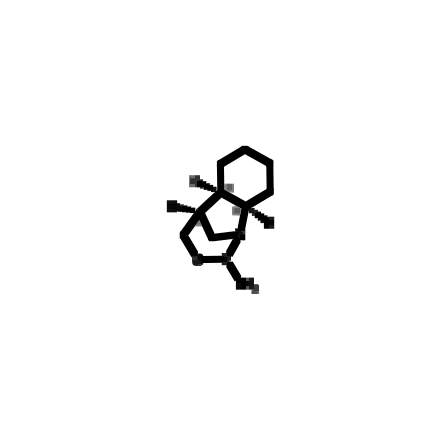 NP1OC[C@@H]2CN1[C@@H]1CCCC[C@H]21